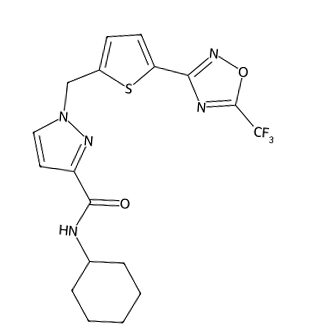 O=C(NC1CCCCC1)c1ccn(Cc2ccc(-c3noc(C(F)(F)F)n3)s2)n1